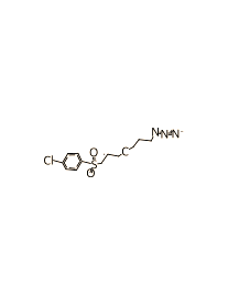 [N-]=[N+]=NCCCCC[CH]CS(=O)(=O)c1ccc(Cl)cc1